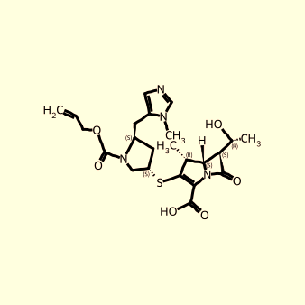 C=CCOC(=O)N1C[C@@H](SC2=C(C(=O)O)N3C(=O)[C@H]([C@@H](C)O)[C@H]3[C@H]2C)C[C@@H]1Cc1cncn1C